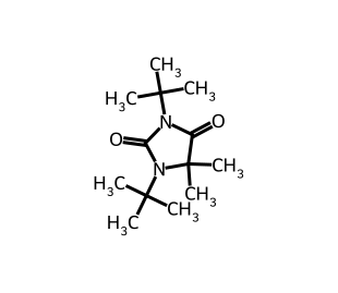 CC(C)(C)N1C(=O)N(C(C)(C)C)C(C)(C)C1=O